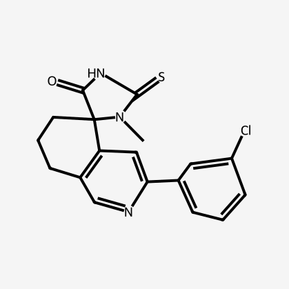 CN1C(=S)NC(=O)C12CCCc1cnc(-c3cccc(Cl)c3)cc12